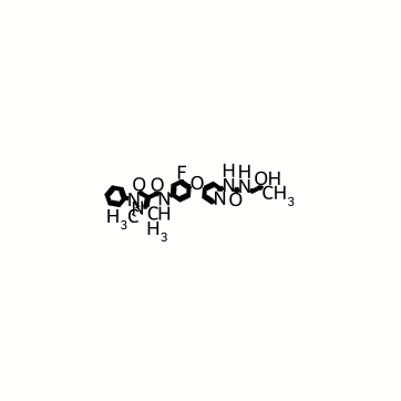 Cc1c(C(=O)Nc2ccc(Oc3ccnc(NC(=O)NCC(C)O)c3)c(F)c2)c(=O)n(-c2ccccc2)n1C